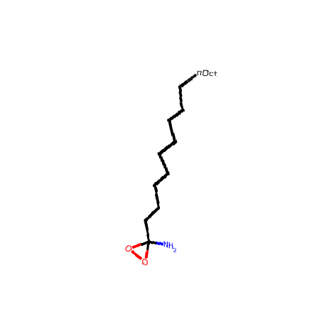 CCCCCCCCCCCCCCCCCC1(N)OO1